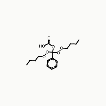 CCCCOOC(OOCCCC)(OC(=O)O)c1ccccc1